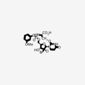 COc1cccc(OP(=O)(N[C@@H](C)C(=O)O)OC[C@H]2O[C@@H](n3ccc(=O)[nH]c3=O)[C@](Cl)(Br)[C@@H]2O)c1